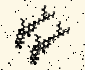 CCCCc1oc2ccc(NS(C)(=O)=O)cc2c1C(=O)c1ccc(OCCCN(CCCC)CCCC)cc1.CCCCc1oc2ccc(NS(C)(=O)=O)cc2c1C(=O)c1ccc(OCCCN(CCCC)CCCC)cc1